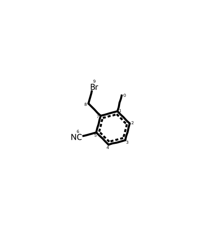 Cc1cccc(C#N)c1CBr